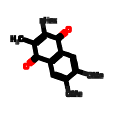 CCCCCCC1=C(C)C(=O)c2cc(OC)c(OC)cc2C1=O